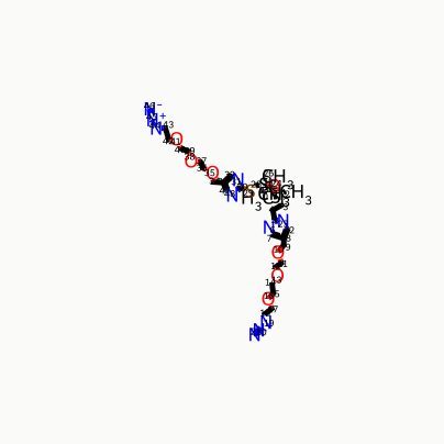 C[Si](C)(CCc1ncc(COCCOCCOCCN=[N+]=[N-])cn1)O[Si](C)(C)CSc1ncc(COCCOCCOCCN=[N+]=[N-])cn1